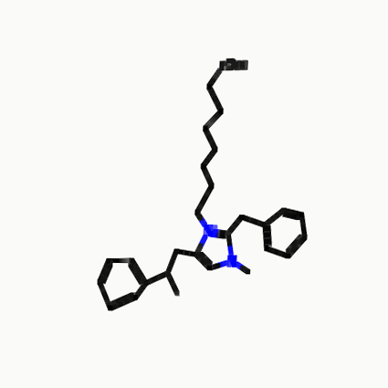 CCCCCCCCCCCCCCCCC[n+]1c(CC(C)c2ccccc2)cn(C)c1Cc1ccccc1